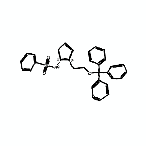 O=S(=O)(N[C@@H]1CC=C[C@H]1CCOC(c1ccccc1)(c1ccccc1)c1ccccc1)c1ccccc1